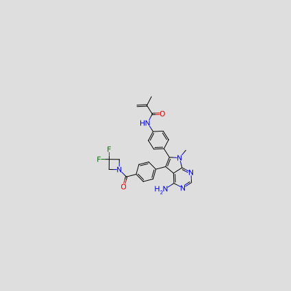 C=C(C)C(=O)Nc1ccc(-c2c(-c3ccc(C(=O)N4CC(F)(F)C4)cc3)c3c(N)ncnc3n2C)cc1